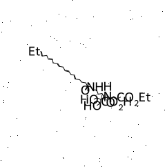 CCC=CCC=CCC=CCC=CCC=CCCCC(=O)NCCCC[C@@](NC(=O)C=CC(=O)OCC)(C(=O)O)C(CO)CO